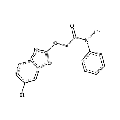 CC(C)N(C(=O)COc1nc2ccc(Cl)cc2o1)c1ccccc1